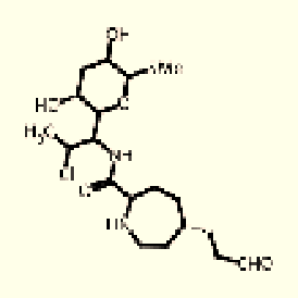 CSC1OC(C(NC(=O)C2CC[C@H](CCC=O)CCN2)C(C)Cl)[C@@H](O)CC1O